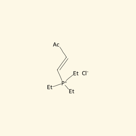 CC[P+](C=CC(C)=O)(CC)CC.[Cl-]